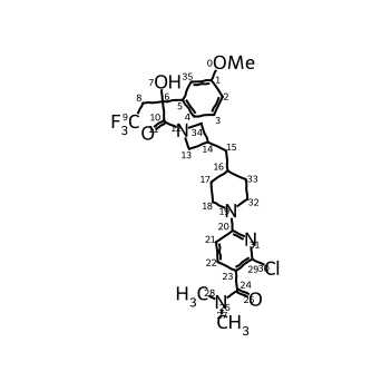 COc1cccc(C(O)(CC(F)(F)F)C(=O)N2CC(CC3CCN(c4ccc(C(=O)N(C)C)c(Cl)n4)CC3)C2)c1